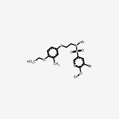 CCCN(CCSc1ccc(OCC(=O)O)c(C)c1)S(=O)(=O)c1cnc(OCC)c(Br)c1